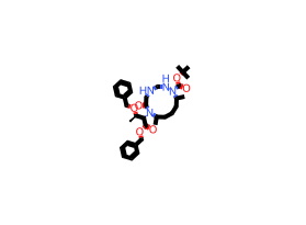 CC1CCCC(C)N([C@H](C(=O)OCc2ccccc2)[C@@H](C)OCc2ccccc2)C(=O)CNCNN1C(=O)OC(C)(C)C